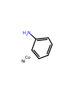 Nc1ccccc1.[Co].[Ni]